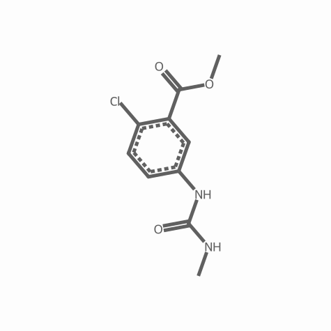 CNC(=O)Nc1ccc(Cl)c(C(=O)OC)c1